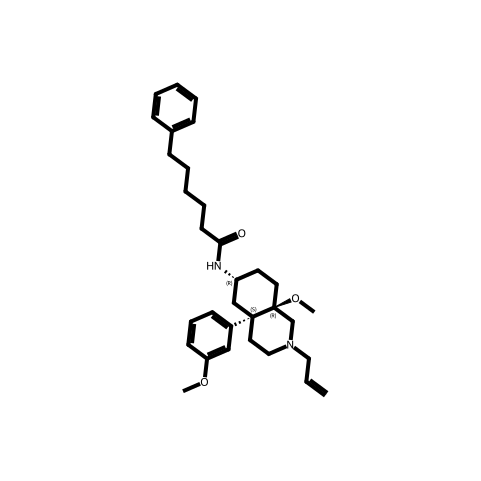 C=CCN1CC[C@@]2(c3cccc(OC)c3)C[C@H](NC(=O)CCCCCc3ccccc3)CC[C@]2(OC)C1